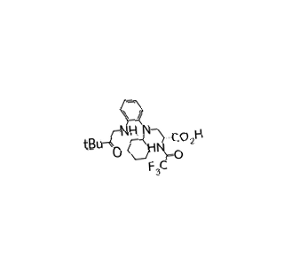 CC(C)(C)C(=O)CNc1ccccc1N(C[C@@H](NC(=O)C(F)(F)F)C(=O)O)C1CCCCC1